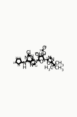 CC(C)(C)c1nnc([C@H]2O[C@@H](n3cnc4c(NC5CCCC5)nc(Cl)nc43)[C@H](O)[C@@H]2OC=O)o1